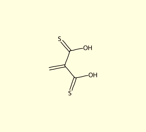 C=C(C(O)=S)C(O)=S